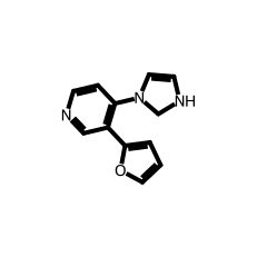 C1=CN(c2ccncc2-c2ccco2)CN1